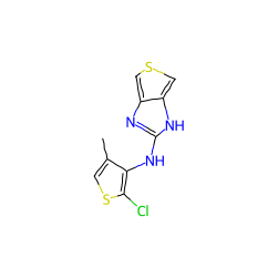 Cc1csc(Cl)c1Nc1nc2cscc2[nH]1